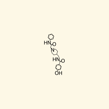 O=C(CN1CCC(CNC(=O)c2ccc(O)cc2)CC1)Nc1ccccc1